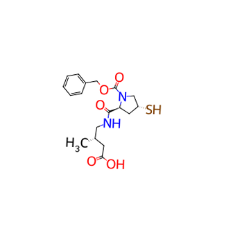 C[C@H](CNC(=O)[C@@H]1C[C@@H](S)CN1C(=O)OCc1ccccc1)CC(=O)O